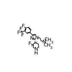 CN(C)CCn1cc(-c2ccc(F)c(C(F)(F)F)c2)nc1[C@@H]1CCNC[C@@H]1F